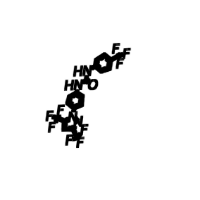 O=C(Nc1ccc(-n2nc(C(F)(F)F)cc2C(F)(F)F)cc1)Nc1ccc(C(F)(F)F)cc1